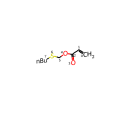 C=CC(=O)OCSCCCC